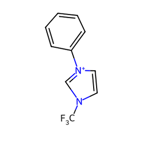 FC(F)(F)n1cc[n+](-c2ccccc2)c1